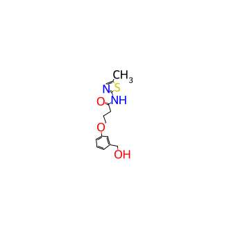 Cc1cnc(NC(=O)CCCOc2cccc(CO)c2)s1